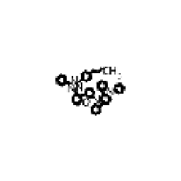 CCCCc1ccc(-c2nc(-c3ccccc3)nc(-c3cccc4oc5c(-n6c7ccccc7c7ccc8c(c9ccccc9n8-c8ccccc8)c76)cccc5c34)n2)cc1